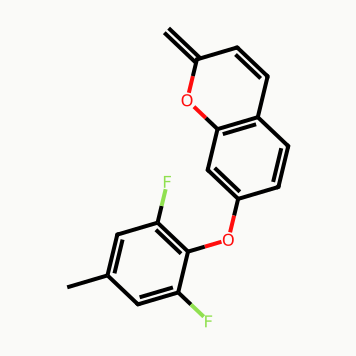 C=C1C=Cc2ccc(Oc3c(F)cc(C)cc3F)cc2O1